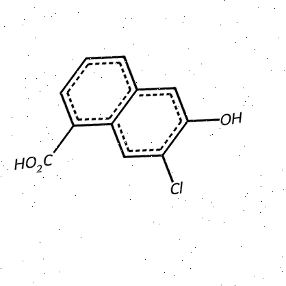 O=C(O)c1cccc2cc(O)c(Cl)cc12